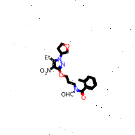 CCc1c([N+](=O)[O-])c(OCCCN(C=O)C(=O)c2ccccc2C)nn1C1CCOC1